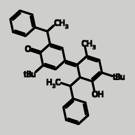 CC1=CC(C(C)(C)C)=C(O)C(C(C)c2ccccc2)C1=C1C=C(C(C)c2ccccc2)C(=O)C(C(C)(C)C)=C1